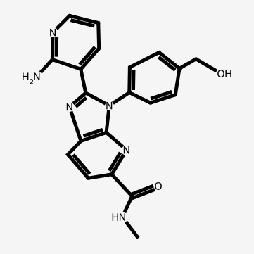 CNC(=O)c1ccc2nc(-c3cccnc3N)n(-c3ccc(CO)cc3)c2n1